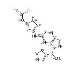 CC(c1cncs1)n1ncc2ncc(Nc3cc(OC(F)F)[nH]n3)nc21